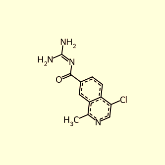 Cc1ncc(Cl)c2ccc(C(=O)N=C(N)N)cc12